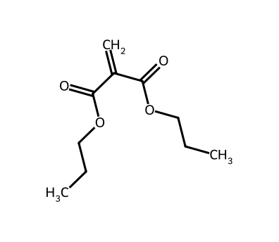 C=C(C(=O)OCCC)C(=O)OCCC